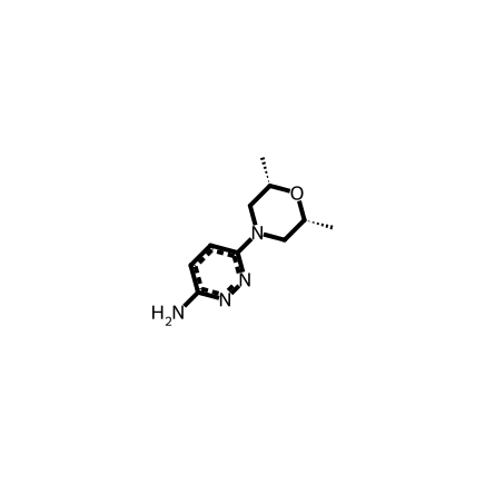 C[C@@H]1CN(c2ccc(N)nn2)C[C@H](C)O1